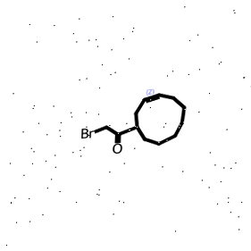 O=C(CBr)C1C/C=C\CCCCCC1